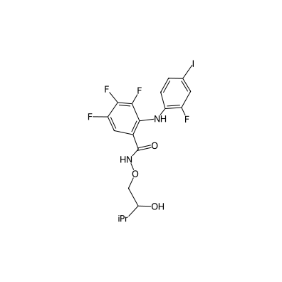 CC(C)C(O)CONC(=O)c1cc(F)c(F)c(F)c1Nc1ccc(I)cc1F